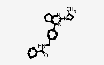 C[C@H]1CCN1c1nc2c(c(-c3ccc(CNC(=O)c4ccccc4)cc3)n1)CCC2